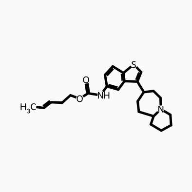 CC=CCCOC(=O)Nc1ccc2scc(C3CCC4CCCCN4CC3)c2c1